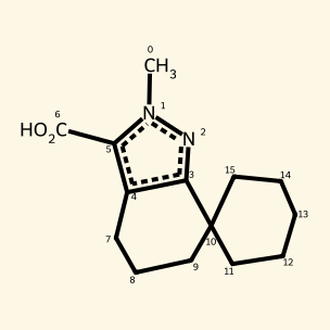 Cn1nc2c(c1C(=O)O)CCCC21CCCCC1